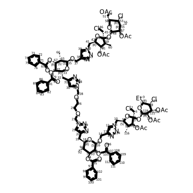 CC[C@H]1O[C@H](O[C@]2(CCl)O[C@H](Cn3cc(CO[C@H]4O[C@H](Cc5cn(COCCOCn6cc(C[C@H]7O[C@H](OCc8cn(C[C@H]9O[C@@](CCl)(O[C@H]%10O[C@H](COC(C)=O)[C@H](Cl)[C@H](C)[C@H]%10OC(C)=O)[C@@H](C)[C@@H]9OC(C)=O)nn8)[C@@H](C)[C@@H](OC(=O)c8ccccc8)[C@@H]7OC(=O)c7ccccc7)nn6)nn5)[C@@H](C)[C@H](OC(=O)c5ccccc5)[C@@H]4OC(=O)c4ccccc4)nn3)[C@@H](C)[C@@H]2OC(C)=O)[C@H](OC(C)=O)[C@@H](OC(C)=O)[C@H]1Cl